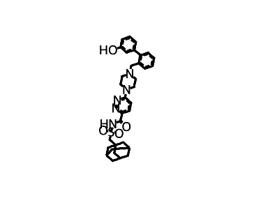 O=C(NS(=O)(=O)CC12CC3CC(CC(C3)C1)C2)c1ccc(N2CCN(Cc3ccccc3-c3cccc(O)c3)CC2)nn1